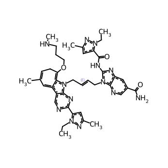 CCn1nc(C)cc1C(=O)Nc1nc2cc(C(N)=O)cnc2n1C/C=C/Cn1c2c(c3cnc(-c4cc(C)nn4CC)nc31)=CC(C)=CCC=2OCCCNC